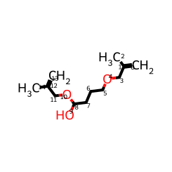 C=C(C)COCCCC(O)OCC(=C)C